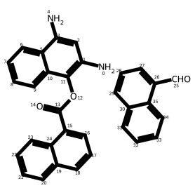 Nc1cc(N)c2ccccc2c1OC(=O)c1cccc2ccccc12.O=Cc1cccc2ccccc12